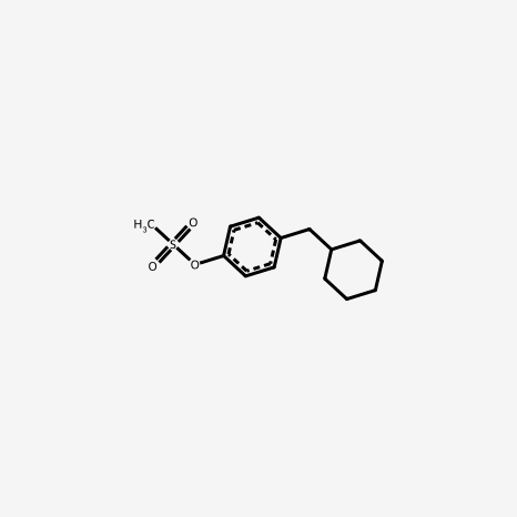 CS(=O)(=O)Oc1ccc(CC2CCCCC2)cc1